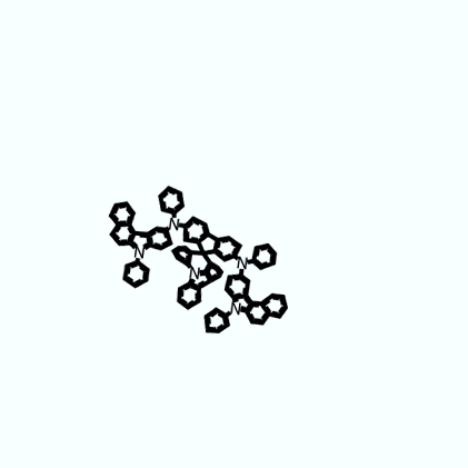 c1ccc(N(c2ccc3c(c2)C2(c4cc(N(c5ccccc5)c5ccc6c(c5)c5c7ccccc7ccc5n6-c5ccccc5)ccc4-3)c3ccccc3-n3c4ccccc4c4cccc2c43)c2ccc3c(c2)c2c4ccccc4ccc2n3-c2ccccc2)cc1